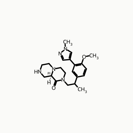 COc1ccc(C(C)CN2CCN3CCNC[C@@H]3C2=O)cc1-c1cnn(C)c1